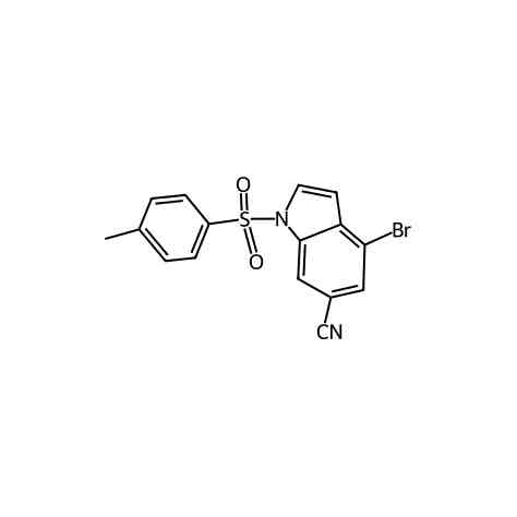 Cc1ccc(S(=O)(=O)n2ccc3c(Br)cc(C#N)cc32)cc1